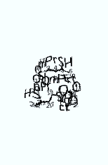 CCCO[Si](CCC(C)S)(OCCC)OCCC.CCOC(OCC)O[SiH2]CCC(C)S